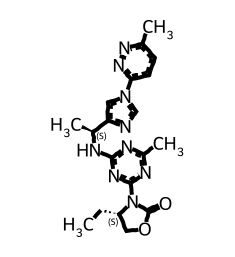 CC[C@H]1COC(=O)N1c1nc(C)nc(N[C@@H](C)c2cn(-c3ccc(C)nn3)cn2)n1